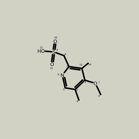 COc1c(C)cnc(CS(=O)(=O)O)c1C